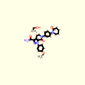 CCO.COc1ccc(-n2nc(C(N)=O)c3c2C(=O)N(c2ccc(N4CCCCC4=O)cc2)CC3)cc1